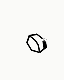 C1#[N+]CC2CCC1CC2